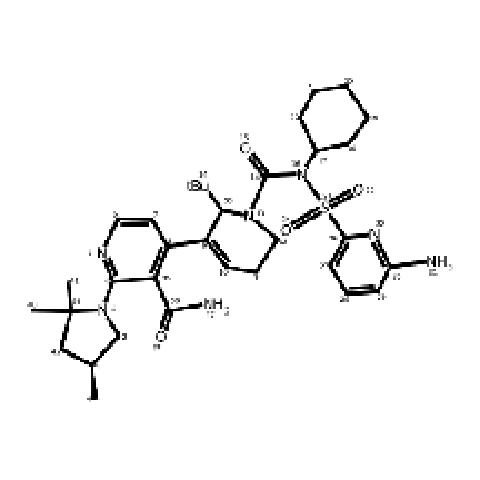 C[C@@H]1CN(c2nccc(C3=CCCN(C(=O)N(C4CCCCC4)S(=O)(=O)c4cccc(N)n4)C3C(C)(C)C)c2C(N)=O)C(C)(C)C1